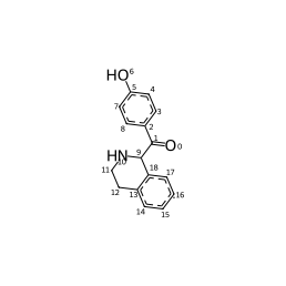 O=C(c1ccc(O)cc1)C1NCCc2cc[c]cc21